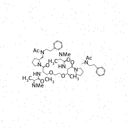 CN[C@@H](C)C(=O)N[C@H](C(=O)N1CCC[C@H]1CN(CCc1ccccc1)C(C)=O)[C@@H](C)OCCO[C@H](C)[C@H](NC(=O)[C@H](C)NC)C(=O)N1CCC[C@H]1CN(CCc1ccccc1)C(C)=O